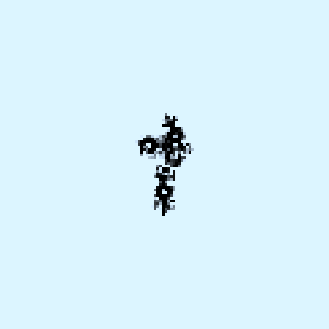 O=C(c1ccc(C(F)(F)F)cc1NS(=O)(=O)c1cccnc1)N1CCN(c2nc(-c3ccc(C(F)(F)F)cc3)cs2)CC1